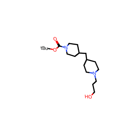 CC(C)(C)OC(=O)N1CCC(CC2CCN(CCCO)CC2)CC1